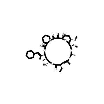 CC[C@@H]1/C=C(\C)C[C@H](C)C[C@H](OC)[C@H]2O[C@@](O)(C(=O)C(=O)N3CCCC[C@H]3C(=O)O[C@H](/C(C)=C/C3CCCCC3)[C@H](C)[C@@H](O)CC1=O)[C@H](C)C[C@@H]2OC